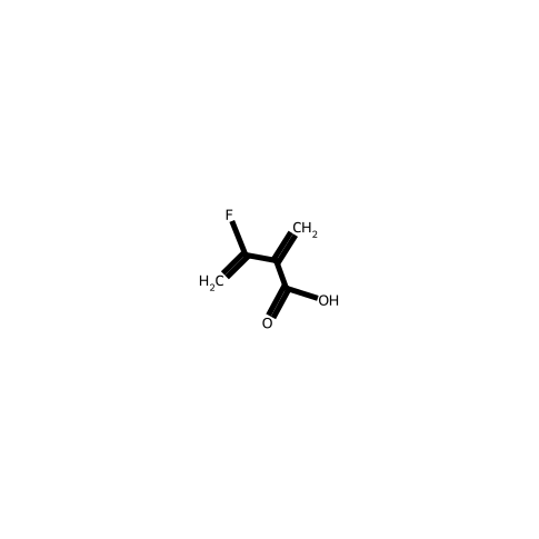 C=C(F)C(=C)C(=O)O